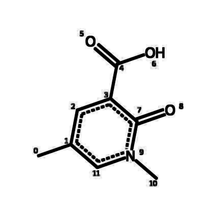 Cc1cc(C(=O)O)c(=O)n(C)c1